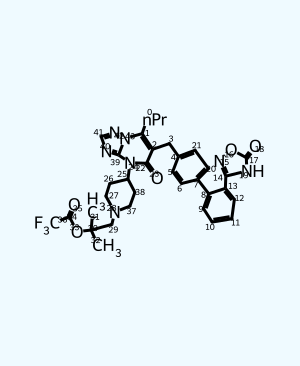 CCCc1c(Cc2ccc(-c3ccccc3-c3noc(=O)[nH]3)cc2)c(=O)n(C2CCN(CC(C)(C)OC(=O)C(F)(F)F)CC2)c2ncnn12